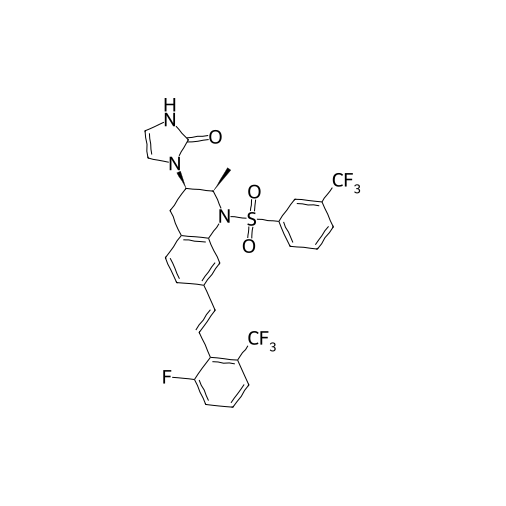 C[C@@H]1[C@H](n2cc[nH]c2=O)Cc2ccc(C=Cc3c(F)cccc3C(F)(F)F)cc2N1S(=O)(=O)c1cccc(C(F)(F)F)c1